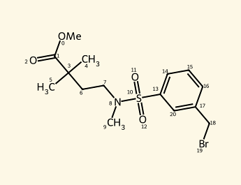 COC(=O)C(C)(C)CCN(C)S(=O)(=O)c1cccc(CBr)c1